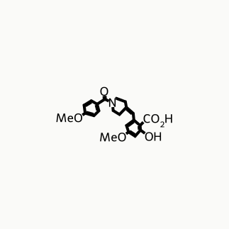 COc1ccc(C(=O)N2CCC(=Cc3cc(OC)cc(O)c3C(=O)O)CC2)cc1